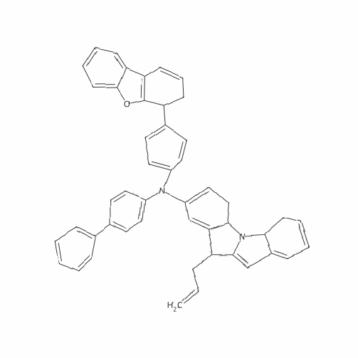 C=CCC1C2=CC(N(c3ccc(-c4ccccc4)cc3)c3ccc(C4CC=Cc5c4oc4ccccc54)cc3)=CCC2N2C1=CC1=CC=CCC12